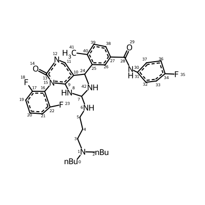 CCCCN(CCCC)CCCNC1Nc2c(cnc(=O)n2-c2c(F)cccc2F)C(c2cc(C(=O)Nc3ccc(F)cc3)ccc2C)N1